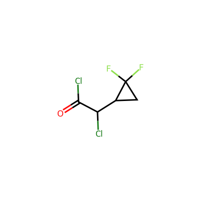 O=C(Cl)C(Cl)C1CC1(F)F